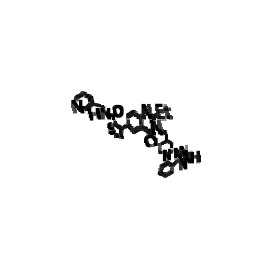 CCc1nc2ccc(-c3ccsc3C(=O)NCc3cccnc3)cc2c(=O)n1CC1CCN(c2ccccc2-c2nn[nH]n2)CC1